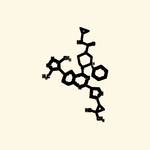 Cc1noc(C)c1-c1ccc2nc(-c3cnn(C4CC4(C)O)c3)nc(N3CCN(C(=O)NC4CC4)C[C@@H]3c3ccccc3)c2c1